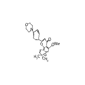 COc1cc2c(c3oc(-c4ccc(N5CCOCC5)cc4)cc(=O)c13)C=CC(C)(C)O2